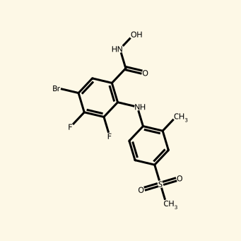 Cc1cc(S(C)(=O)=O)ccc1Nc1c(C(=O)NO)cc(Br)c(F)c1F